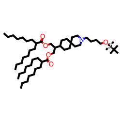 CCCCCCCC(CCCCCCC)C(=O)OCC(COC(=O)C(CCCCCCC)CCCCCCC)C1CCC2(CC1)CCN(CCCCO[Si](C)(C)C(C)(C)C)CC2